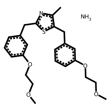 COCCOc1cccc(Cc2nc(C)c(Cc3cccc(OCCOC)c3)s2)c1.N